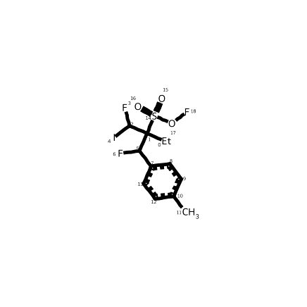 CCC(C(F)I)(C(F)c1ccc(C)cc1)S(=O)(=O)OF